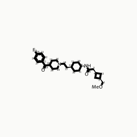 COC[C@H]1C[C@@H](CC(=O)N[C@H]2CC[C@H](CCN3CCC(C(=O)c4ccc(F)cc4)CC3)CC2)C1